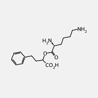 NCCCC[C@H](N)C(=O)OC(CCc1ccccc1)C(=O)O